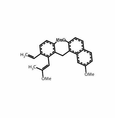 C=Cc1ccc(OC)c(Cc2c(OC)ccc3ccc(OC)cc23)c1/C=C(\C)OC